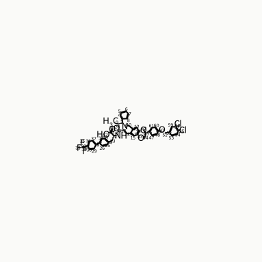 CC[C@@H](c1ccccc1)N1Cc2cc3c(cc2C[C@H]1C(=O)N[C@@H](Cc1ccc(-c2ccc(C(F)(F)F)cc2)cc1)C(=O)O)OC[C@H](c1ccc(OCc2ccc(Cl)c(Cl)c2)cc1)O3